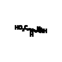 O=C(O)CCNCCc1c[nH]cn1